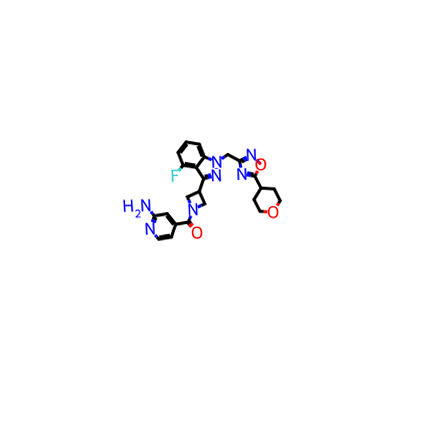 Nc1cc(C(=O)N2CC(c3nn(Cc4noc(C5CCOCC5)n4)c4cccc(F)c34)C2)ccn1